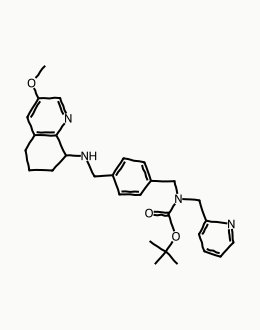 COc1cnc2c(c1)CCCC2NCc1ccc(CN(Cc2ccccn2)C(=O)OC(C)(C)C)cc1